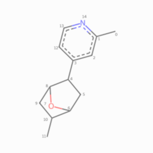 Cc1cc(C2CC3OC2CC3C)ccn1